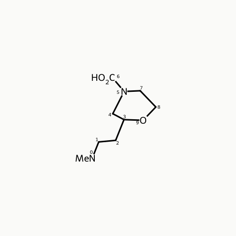 CNCCC1CN(C(=O)O)CCO1